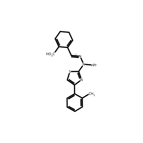 CCCN(/N=C/C1=CCCC=C1C(=O)O)c1nc(-c2ccccc2C)cs1